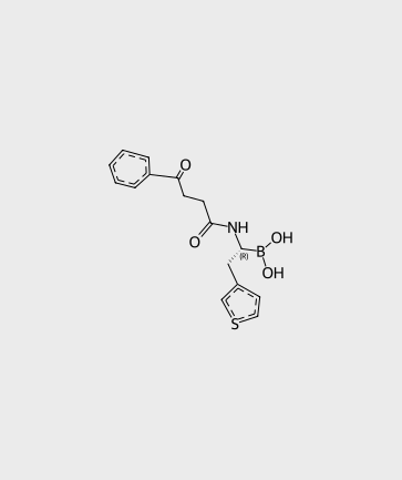 O=C(CCC(=O)c1ccccc1)N[C@@H](Cc1ccsc1)B(O)O